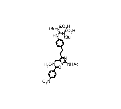 CC(=O)Nc1nc(CCc2ccc(NC(N(C(=O)O)C(C)(C)C)N(C(=O)O)C(C)(C)C)cc2)c(CN(C)C(=O)c2ccc([N+](=O)[O-])cc2)s1